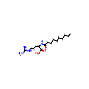 CCCCCCCCCC(=O)NC(CCCNC(=N)N)C(=O)O